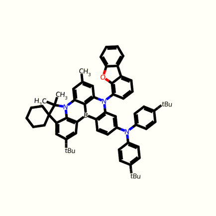 Cc1cc2c3c(c1)N1c4c(cc(C(C)(C)C)cc4C4(CCCCC4)C1(C)C)B3c1ccc(N(c3ccc(C(C)(C)C)cc3)c3ccc(C(C)(C)C)cc3)cc1N2c1cccc2c1oc1ccccc12